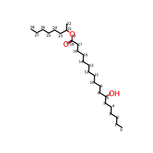 CCCCCCC(O)CCCCCCCCCCC(=O)OC(C)CCCCCC